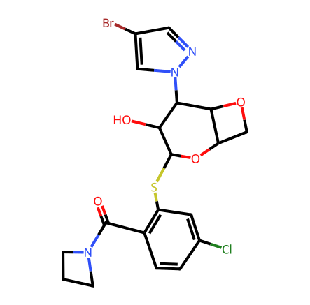 O=C(c1ccc(Cl)cc1SC1OC2COC2C(n2cc(Br)cn2)C1O)N1CCC1